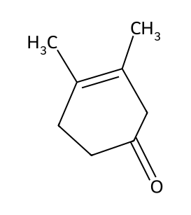 CC1=C(C)CC(=O)CC1